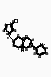 Clc1cnn(C[C@H]2CC[C@H]3CN(c4ccccn4)CCN3C2)c1